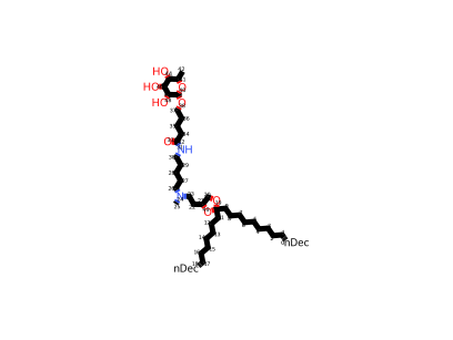 CCCCCCCCCCCCCCCCCCCC1(CCCCCCCCCCCCCCCCC)OCC(CCN(C)CCCCCNC(=O)CCCCOC2OC(C)C(O)C(O)C2O)O1